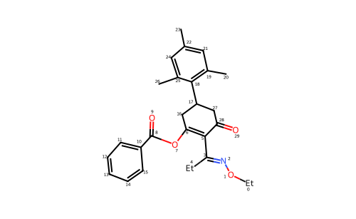 CCON=C(CC)C1=C(OC(=O)c2ccccc2)CC(c2c(C)cc(C)cc2C)CC1=O